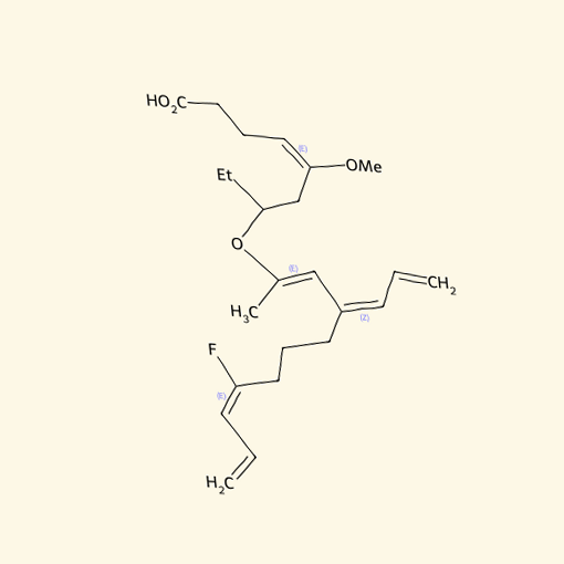 C=C/C=C(\C=C(/C)OC(CC)C/C(=C\CCC(=O)O)OC)CCC/C(F)=C\C=C